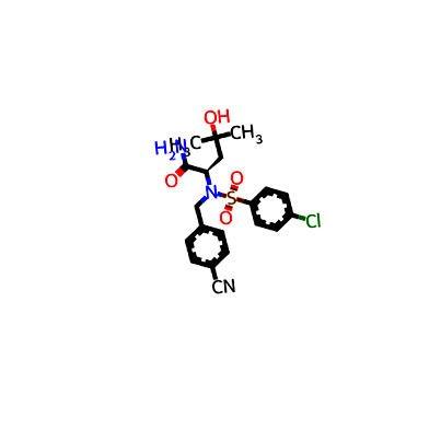 CC(C)(O)C[C@H](C(N)=O)N(Cc1ccc(C#N)cc1)S(=O)(=O)c1ccc(Cl)cc1